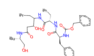 CCC(C)[C@@H](CO)NC(=O)CC(O)C(CC(C)C)NC(=O)[C@H](CC(C)C)NC(=O)[C@H](Cc1ccccc1)NC(=O)OCc1ccccc1